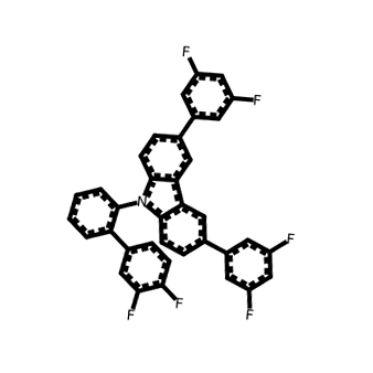 Fc1cc(F)cc(-c2ccc3c(c2)c2cc(-c4cc(F)cc(F)c4)ccc2n3-c2ccccc2-c2ccc(F)c(F)c2)c1